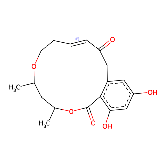 CC1CC(C)OC(=O)c2c(O)cc(O)cc2CC(=O)/C=C/CCO1